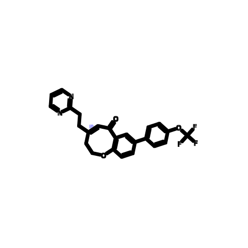 O=C1/C=C(/CCc2ncccn2)CCOc2ccc(-c3ccc(OC(F)(F)F)cc3)cc21